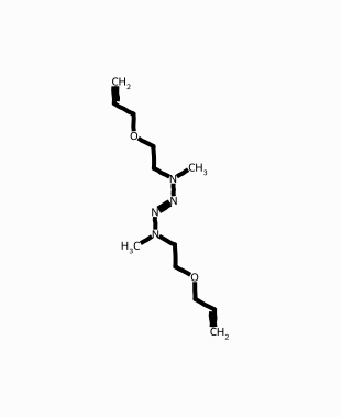 C=CCOCCN(C)/N=N/N(C)CCOCC=C